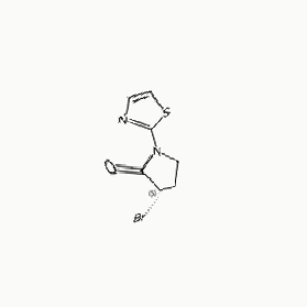 O=C1[C@@H](Br)CCN1c1nccs1